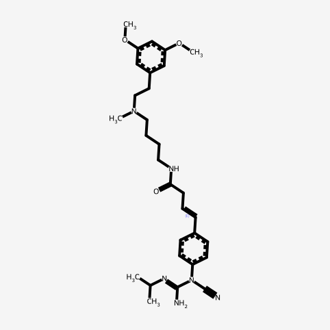 COc1cc(CCN(C)CCCCNC(=O)C/C=C/c2ccc(N(C#N)C(N)=NC(C)C)cc2)cc(OC)c1